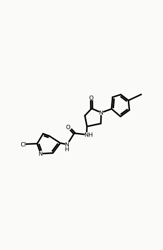 Cc1ccc(N2CC(NC(=O)Nc3ccc(Cl)nc3)CC2=O)cc1